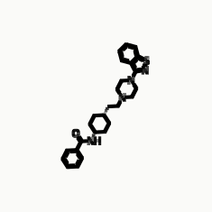 O=C(N[C@H]1CC[C@@H](CCN2CCN(c3nsc4ccccc34)CC2)CC1)c1ccccc1